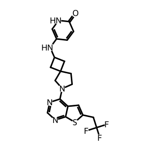 O=c1ccc(NC2CC3(CCN(c4ncnc5sc(CC(F)(F)F)cc45)C3)C2)c[nH]1